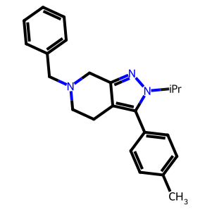 Cc1ccc(-c2c3c(nn2C(C)C)CN(Cc2ccccc2)CC3)cc1